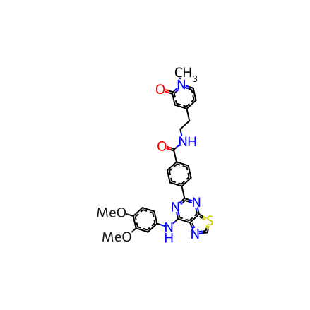 COc1ccc(Nc2nc(-c3ccc(C(=O)NCCc4ccn(C)c(=O)c4)cc3)nc3scnc23)cc1OC